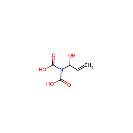 C=CC(O)N(C(=O)O)C(=O)O